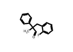 CC(C=O)(Cc1ccccc1F)c1ccccc1